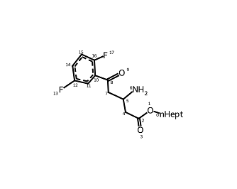 CCCCCCCOC(=O)CC(N)CC(=O)c1cc(F)ccc1F